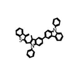 C=c1/c(=C\c2c(C)c3cc(-c4ccc5c(c4)c4ccccc4n5-c4ccccc4)ccc3n2-c2ccccc2)sc2ccccc12